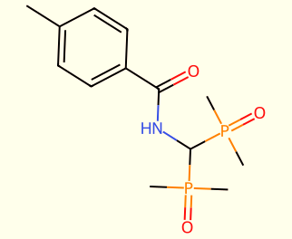 Cc1ccc(C(=O)NC(P(C)(C)=O)P(C)(C)=O)cc1